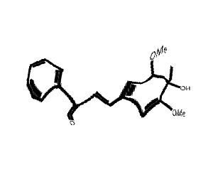 COC1=CC(C=CC(=O)c2ccccc2)=CC(OC)C1(C)O